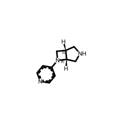 c1cc(N2C[C@@H]3CNC[C@@H]32)ccn1